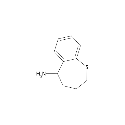 NC1CCCSc2ccccc21